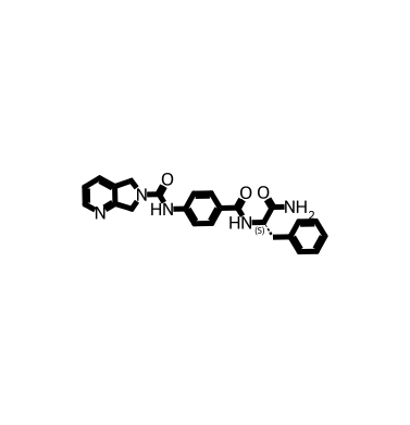 NC(=O)[C@H](Cc1ccccc1)NC(=O)c1ccc(NC(=O)N2Cc3cccnc3C2)cc1